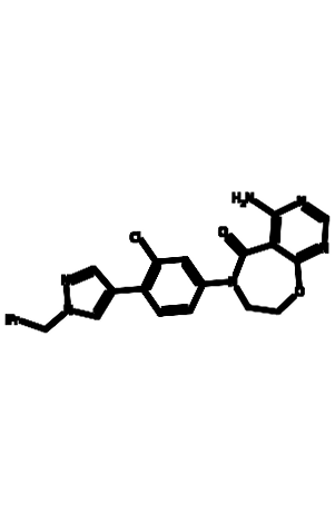 CC(C)Cn1cc(-c2ccc(N3CCOc4ncnc(N)c4C3=O)cc2Cl)cn1